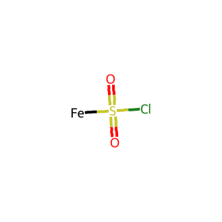 O=[S](=O)(Cl)[Fe]